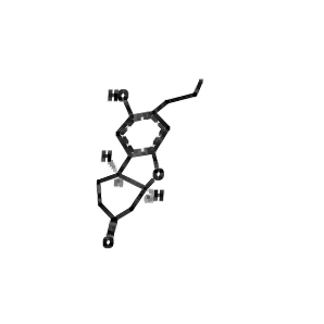 CCCc1cc2c(cc1O)[C@@H]1CCC(=O)C[C@@H]1O2